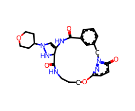 O=C1NC2=CN(C3CCOCC3)NC2C(=O)NCCCOc2ccc(=O)n(n2)Cc2cccc1c2